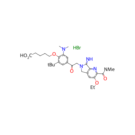 Br.CCOc1cc2c(nc1C(=O)NC)C(=N)N(CC(=O)c1cc(N(C)C)c(OCCCCC(=O)O)c(C(C)(C)C)c1)C2